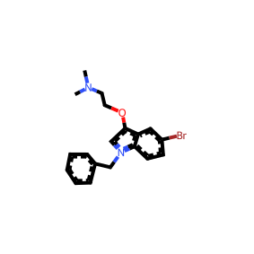 CN(C)CCOc1cn(Cc2ccccc2)c2ccc(Br)cc12